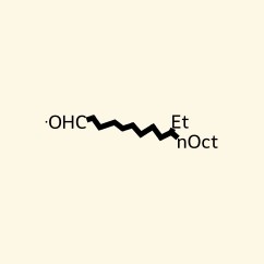 CCCCCCCCC(CC)CCCCCCCC[C]=O